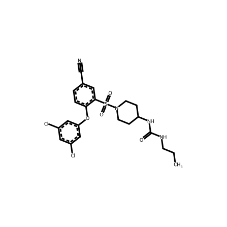 CCCNC(=O)NC1CCN(S(=O)(=O)c2cc(C#N)ccc2Oc2cc(Cl)cc(Cl)c2)CC1